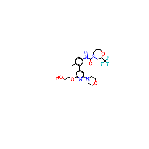 Cc1ccc(NC(=O)N2CCCOC(C(F)(F)F)C2)cc1-c1cc(OCCO)nc(N2CCOCC2)c1